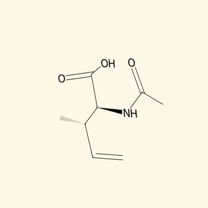 C=C[C@H](C)[C@H](NC(C)=O)C(=O)O